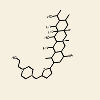 CC(C)C1CC(C2CCC(CN3CCN(CCO)CC3)O2)C(C)C2C(O)C3C(O)C4(O)C(O)C(C(C)O)C(C)C[C@]4(C)C[C@]3(C)CC12